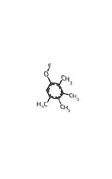 Cc1cc(OF)c(C)c(C)c1C